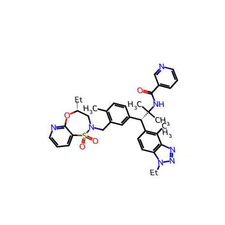 CC[C@@H]1CN(Cc2cc([C@@H](c3ccc4c(nnn4CC)c3C)C(C)(C)NC(=O)c3cccnc3)ccc2C)S(=O)(=O)c2cccnc2O1